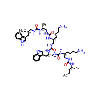 CC(=O)CC[C@@H](NC(=O)NC[C@H](CCCCN)NC(=O)NC[C@H](Cc1c[nH]c2ccccc12)NC(=O)NC[C@H](CCCCN)NC(=O)NC[C@@H](NC(=O)NC[C@@H](C)Cc1c[nH]c2ccccc12)C(C)C)C(C)C